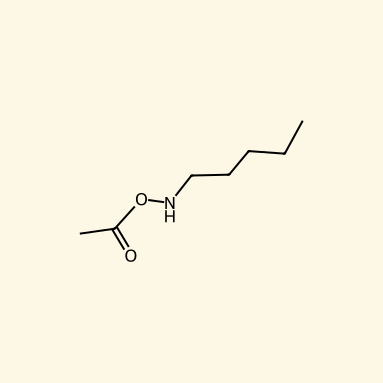 CCCCCNOC(C)=O